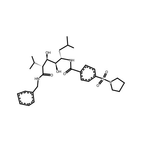 CC(C)C[C@H](NC(=O)c1ccc(S(=O)(=O)N2CCCC2)cc1)[C@@H](O)[C@H](O)[C@H](C(=O)NCc1ccccc1)C(C)C